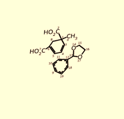 CC1(C(=O)O)C=CC=C(C(=O)O)C1.c1ccc(C2OCCO2)cc1